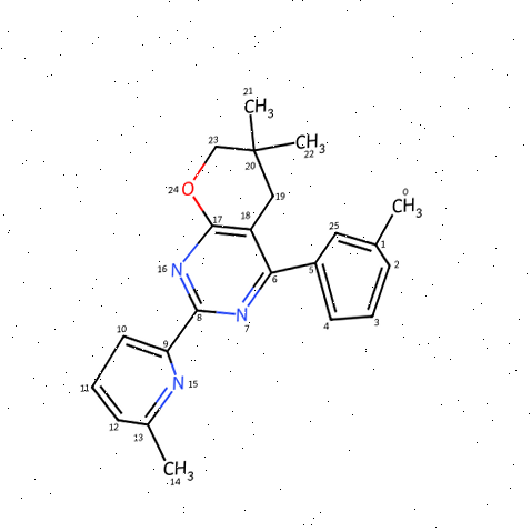 Cc1cccc(-c2nc(-c3cccc(C)n3)nc3c2CC(C)(C)CO3)c1